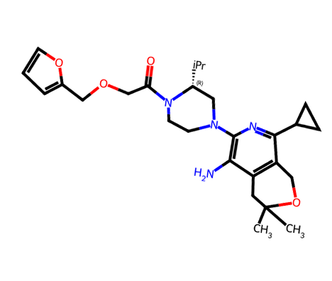 CC(C)[C@@H]1CN(c2nc(C3CC3)c3c(c2N)CC(C)(C)OC3)CCN1C(=O)COCc1ccco1